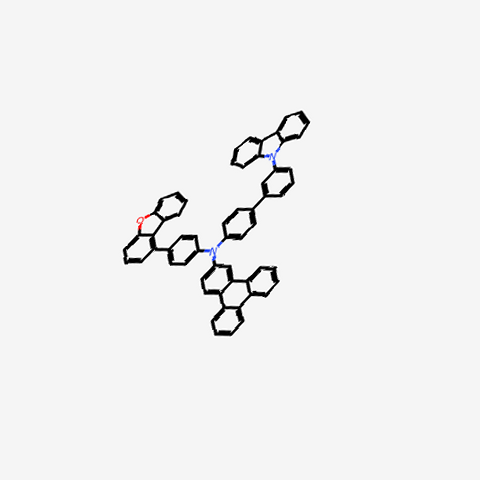 c1cc(-c2ccc(N(c3ccc(-c4cccc5oc6ccccc6c45)cc3)c3ccc4c5ccccc5c5ccccc5c4c3)cc2)cc(-n2c3ccccc3c3ccccc32)c1